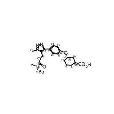 CCC(C)N(C)C(=O)OCc1c(-c2ccc(O[C@H]3CCC[C@H](C(=O)O)C3)cc2)nnn1C